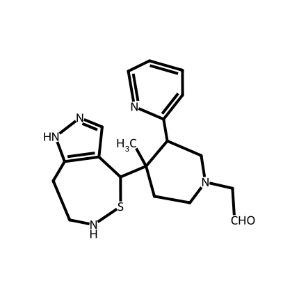 CC1(C2SNCCc3[nH]ncc32)CCN(CC=O)CC1c1ccccn1